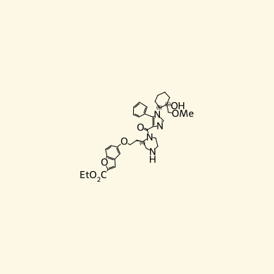 CCOC(=O)c1cc2cc(OCC[C@@H]3CNCCN3C(=O)c3ncn([C@@H]4CCCC[C@@]4(O)COC)c3-c3ccccc3)ccc2o1